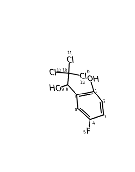 Oc1ccc(F)cc1C(O)C(Cl)(Cl)Cl